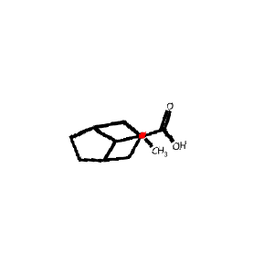 COC1C2CCC1CC(C(=O)O)C2